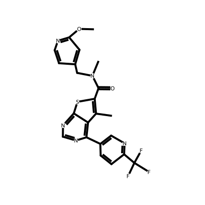 COc1cc(CN(C)C(=O)c2sc3ncnc(-c4ccc(C(F)(F)F)nc4)c3c2C)ccn1